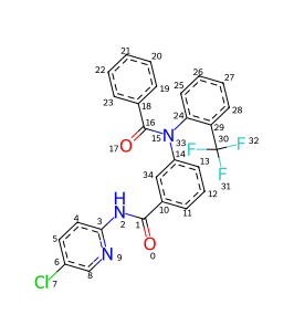 O=C(Nc1ccc(Cl)cn1)c1cccc(N(C(=O)c2ccccc2)c2ccccc2C(F)(F)F)c1